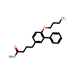 COC(=O)CCCc1ccc(OCCCC(F)(F)F)c(-c2ccccc2)c1